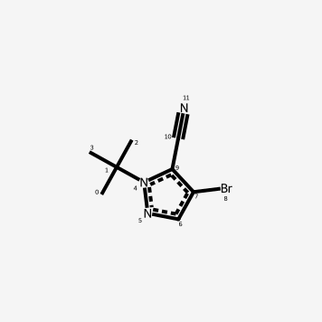 CC(C)(C)n1ncc(Br)c1C#N